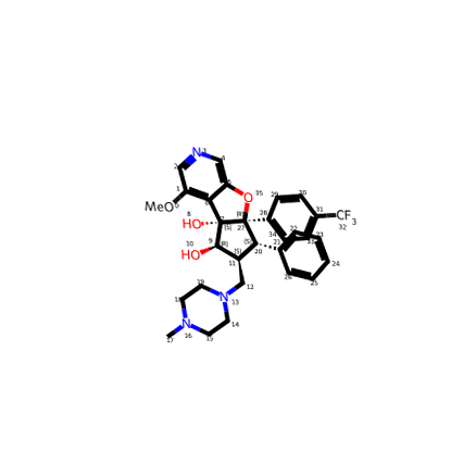 COc1cncc2c1[C@]1(O)[C@H](O)[C@H](CN3CCN(C)CC3)[C@@H](c3ccccc3)[C@]1(c1ccc(C(F)(F)F)cc1)O2